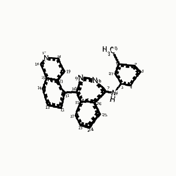 Cc1cccc(Nc2nnc(-c3cccc4cnccc34)c3ccccc23)c1